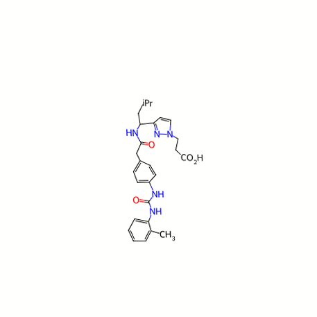 Cc1ccccc1NC(=O)Nc1ccc(CC(=O)NC(CC(C)C)c2ccn(CCC(=O)O)n2)cc1